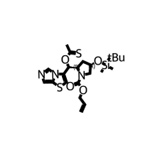 C=CCOC(=O)N1C[C@H](O[Si](C)(C)C(C)(C)C)C[C@@H]1C(OC(C)=S)c1csc2cncn12